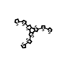 c1csc(-c2ccc(-c3cc4c(s3)c3cc(-c5ccc(-c6cccs6)s5)sc3c3cc(-c5ccc(-c6cccs6)s5)sc43)s2)c1